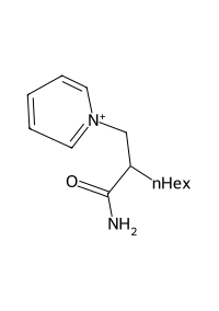 CCCCCCC(C[n+]1ccccc1)C(N)=O